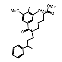 COC(=O)CCCCN(CCC(C)c1ccccc1)C(=O)c1cc(OC)c(C)c(OC)c1